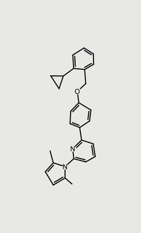 Cc1ccc(C)n1-c1cccc(-c2ccc(OCc3ccccc3C3CC3)cc2)n1